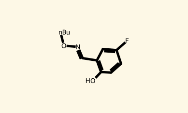 CCCCO/N=C/c1cc(F)ccc1O